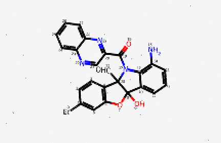 CCc1ccc2c(c1)OC1(O)c3cccc(N)c3N(C(=O)c3cnc4ccccc4n3)C21C=O